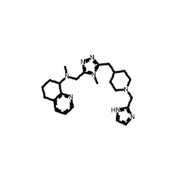 CN(Cc1nnc(CC2CCN(Cc3ncc[nH]3)CC2)n1C)C1CCCc2cccnc21